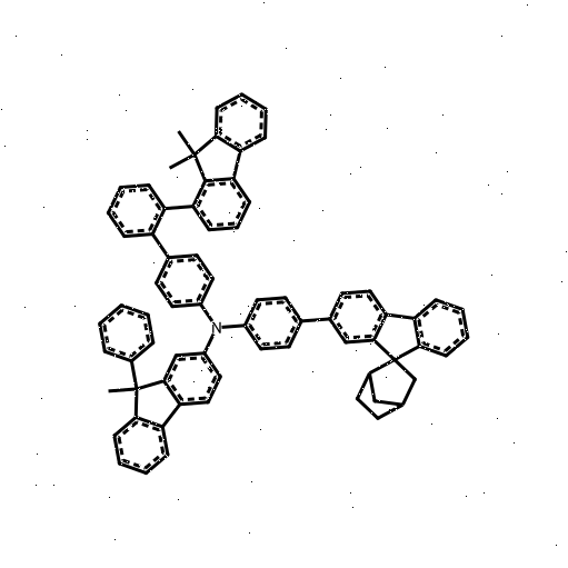 CC1(C)c2ccccc2-c2cccc(-c3ccccc3-c3ccc(N(c4ccc(-c5ccc6c(c5)C5(CC7CCC5C7)c5ccccc5-6)cc4)c4ccc5c(c4)C(C)(c4ccccc4)c4ccccc4-5)cc3)c21